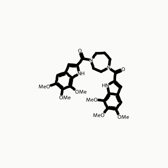 COc1cc2cc(C(=O)N3CCCN(C(=O)c4cc5cc(OC)c(OC)c(OC)c5[nH]4)CC3)[nH]c2c(OC)c1OC